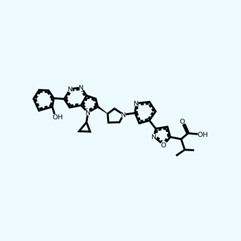 CC(C)C(C(=O)O)c1cc(-c2ccnc(N3CC[C@@H](c4cc5nnc(-c6ccccc6O)cc5n4C4CC4)C3)c2)no1